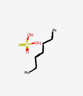 CC(C)CCCC[CH2][Na].O=S(O)(O)=S